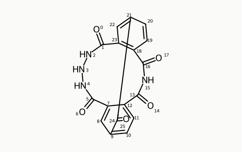 O=C1NNNC(=O)c2cc3ccc2c(=O)[nH]c(=O)c2ccc(cc21)c3=O